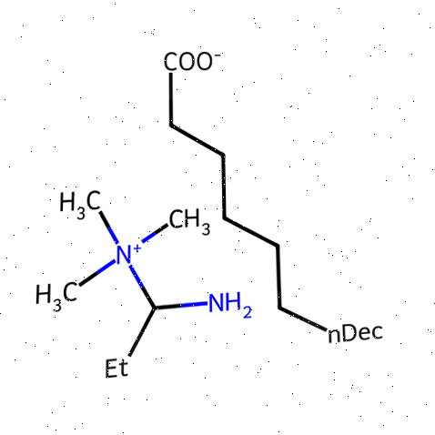 CCC(N)[N+](C)(C)C.CCCCCCCCCCCCCCCC(=O)[O-]